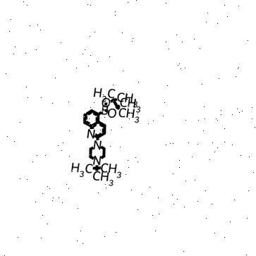 CC(C)(C)N1CCN(c2ccc3c(B4OC(C)(C)C(C)(C)O4)cccc3n2)CC1